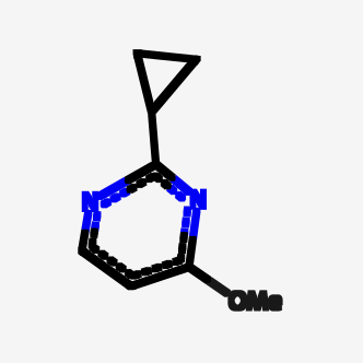 COc1ccnc(C2CC2)n1